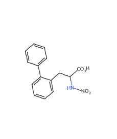 O=C(O)C(Cc1ccccc1-c1ccccc1)N[N+](=O)[O-]